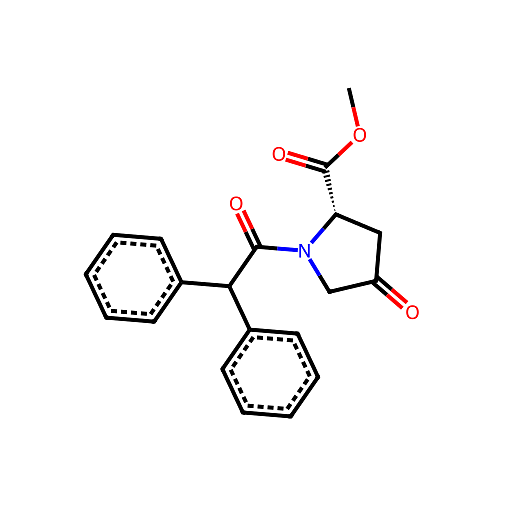 COC(=O)[C@@H]1CC(=O)CN1C(=O)C(c1ccccc1)c1ccccc1